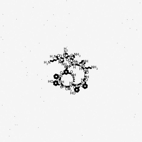 C[C@H]1NC(=O)[C@H](Cc2ccc(O)cc2)NC(=O)[C@H](c2ccccc2)NC(=O)c2cc3cc(c2)C(=O)NC[C@@H](C(=O)N[C@@H](CC(N)=O)C(=O)N[C@@H](CC(N)=O)C(=O)N[C@@H](CC(N)=O)C(=O)N[C@@H](CCCCN)C(N)=O)NC(=O)[C@H](Cc2c[nH]cn2)NC(=O)[C@@H](CCCCN)NC(=O)CNC(=O)[C@@H](Cc2ccccc2)NC(=O)[C@H](Cc2ccc(O)cc2)NC(=O)[C@H](CCCCNC3=O)NC1=O